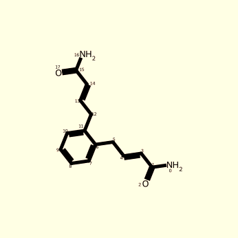 NC(=O)C=CCc1ccccc1CC=CC(N)=O